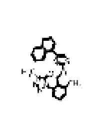 Cc1cccc(-n2nnn(C)c2=O)c1COc1nc(-c2cccc3ccccc23)cs1